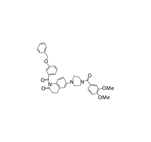 COc1ccc(C(=O)N2CCN(c3ccc4c(c3)CCC(=O)N4C(=O)c3cccc(OCc4ccccc4)c3)CC2)cc1OC